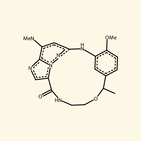 CNc1cc2nn3c(cnc13)C(=O)NCCOC(C)c1ccc(OC)c(c1)N2